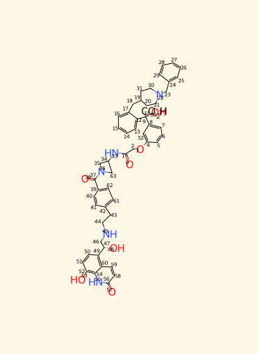 O=C(COc1cccc([C@@](O)(C(=O)O)c2ccccc2CC2CCN(Cc3ccccc3)CC2)c1)NC1CN(C(=O)c2ccc(CCNC[C@H](O)c3ccc(O)c4[nH]c(=O)ccc34)cc2)C1